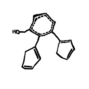 Oc1cccc(C2=CC=CC2)c1C1=CC=CC1